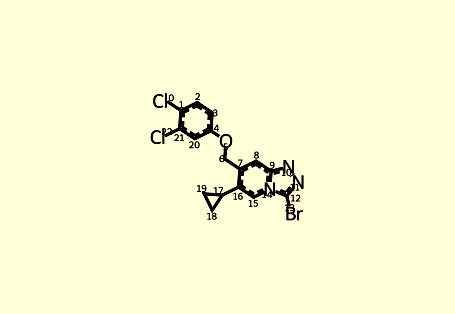 Clc1ccc(OCc2cc3nnc(Br)n3cc2C2CC2)cc1Cl